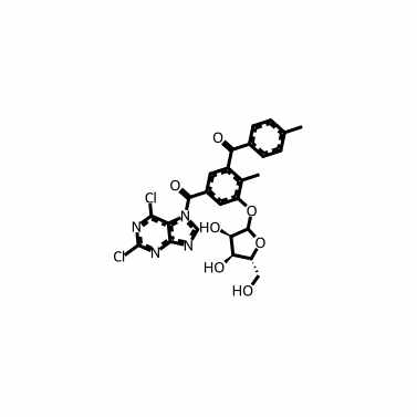 Cc1ccc(C(=O)c2cc(C(=O)n3cnc4nc(Cl)nc(Cl)c43)cc(OC3O[C@H](CO)[C@@H](O)[C@H]3O)c2C)cc1